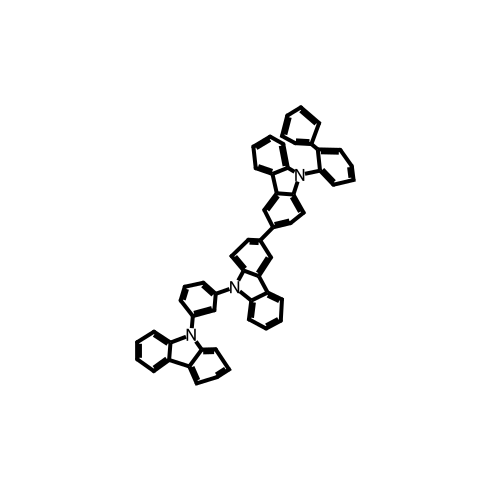 c1ccc(-c2ccccc2-n2c3ccccc3c3cc(-c4ccc5c(c4)c4ccccc4n5-c4cccc(-n5c6ccccc6c6ccccc65)c4)ccc32)cc1